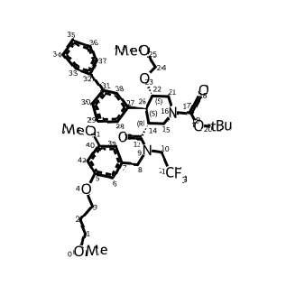 COCCCOc1cc(CN(CC(F)(F)F)C(=O)[C@H]2CN(C(=O)OC(C)(C)C)C[C@@H](OCOC)[C@@H]2c2cccc(-c3ccccc3)c2)cc(OC)c1